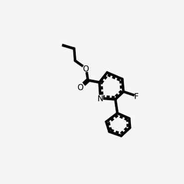 CCCOC(=O)c1ccc(F)c(-c2ccccc2)n1